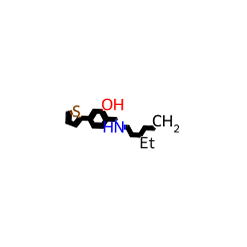 C=CCC(CC)CCNCc1ccc(-c2cccs2)cc1O